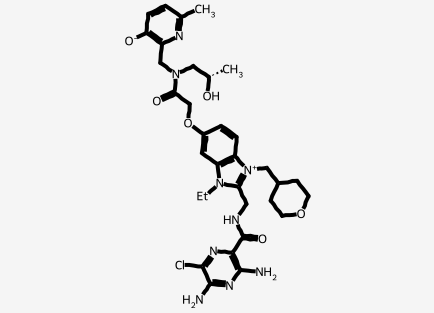 CCn1c(CNC(=O)c2nc(Cl)c(N)nc2N)[n+](CC2CCOCC2)c2ccc(OCC(=O)N(Cc3nc(C)ccc3[O-])C[C@H](C)O)cc21